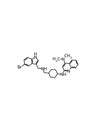 CN(C)c1cc(NC2CCC(CNCc3c[nH]c4ccc(Br)cc34)CC2)nc2ccccc12